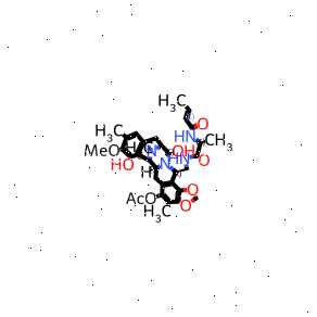 C/C=C/C(=O)N[C@@H](C)C(=O)NC[C@H]1c2c(c(OC(C)=O)c(C)c3c2OCO3)C[C@H]2C3c4c(cc(C)c(OC)c4O)CC([C@H](O)N12)N3C